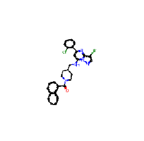 O=C(c1cccc2ccccc12)N1CCC(CNc2cc(-c3ccccc3Cl)nc3c(Br)cnn23)CC1